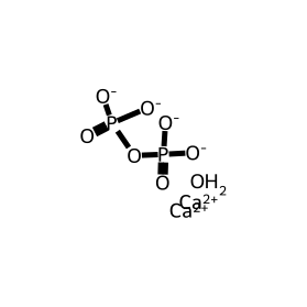 O.O=P([O-])([O-])OP(=O)([O-])[O-].[Ca+2].[Ca+2]